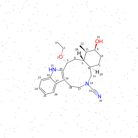 CCO[C@@H]1C[C@H]2[C@@H](CC[C@H](O)[C@@H]2C)CN(C#N)CCc2c1[nH]c1ccccc21